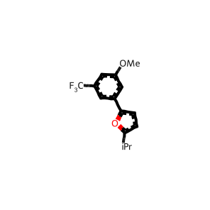 COc1cc(-c2ccc(C(C)C)o2)cc(C(F)(F)F)c1